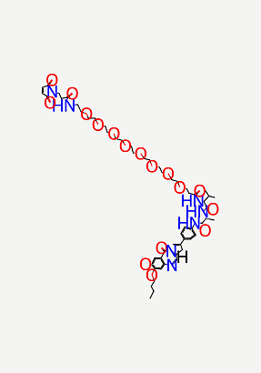 CCCCOc1cc2c(cc1OC)C(=O)N1C=C(c3ccc(NC(=O)[C@H](C)NC(=O)[C@@H](NC(=O)CCOCCOCCOCCOCCOCCOCCOCCOCCNC(=O)CCN4C(=O)C=CC4=O)C(C)C)cc3)C[C@H]1C=N2